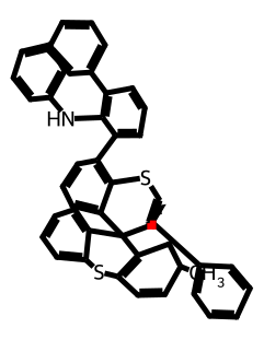 CC1C=CC2=C(C1)C1(c3ccccc3S2)c2cc(-c3ccccc3)ccc2Sc2c(-c3cccc(-c4ccccc4)c3Nc3ccccc3)cccc21